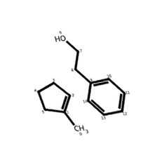 CC1=CCCC1.OCCc1ccccc1